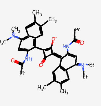 CC[N+](CC)=C1C=C(NC(=O)C(C)C)/C(=C2/C(=O)C(c3c(NC(=O)C(C)C)cc(N(C)C)c4cc(C)c(C)cc34)=C2[O-])c2cc(C)c(C)cc21